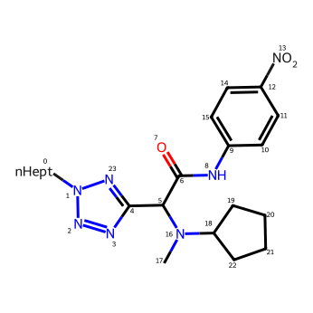 CCCCCCCn1nnc(C(C(=O)Nc2ccc([N+](=O)[O-])cc2)N(C)C2CCCC2)n1